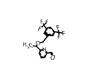 CC(OCc1cc(C(F)(F)F)cc(C(F)(F)F)c1)c1cccc(C=O)n1